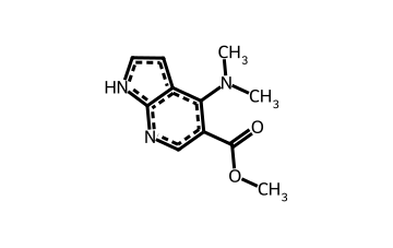 COC(=O)c1cnc2[nH]ccc2c1N(C)C